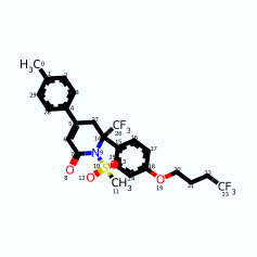 Cc1ccc(C2=CC(=O)N(S(C)(=O)=O)C(c3ccc(OCCCC(F)(F)F)cc3)(C(F)(F)F)C2)cc1